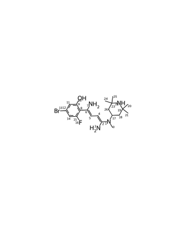 CN(/C(N)=C/C=C(\N)c1c(O)cc(Br)cc1F)C1CC(C)(C)NC(C)(C)C1